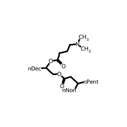 CCCCCCCCCCC(COC(=O)CC(CCCCC)CCCCCCCCC)OC(=O)CCCN(C)C